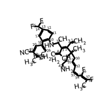 C=C/C(=C(/C(=C)C)C(C)Nc1ccc(C(F)F)cc1C(/C=C(/C#N)C(=C)C)=C/C)C(C)(C/C=C/C=C\C(F)=C(/C)F)CCCN